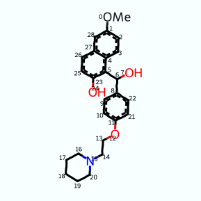 COc1ccc2c(C(O)c3ccc(OCCN4CCCCC4)cc3)c(O)ccc2c1